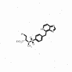 CCOC(=O)[C@H](CC(C)C)N(C)S(=O)(=O)c1ccc(Cc2[nH]ccc3ncnc2-3)cc1